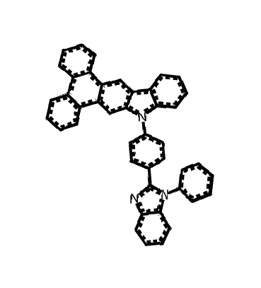 c1ccc(-n2c(-c3ccc(-n4c5ccccc5c5cc6c7ccccc7c7ccccc7c6cc54)cc3)nc3ccccc32)cc1